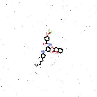 CCCCc1ccc(Nc2ccc(OC(Cc3ccccc3)C(=O)O)c(NC(=O)c3ccc(OC(F)(F)F)cc3)c2)cc1